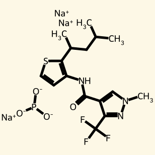 CC(C)CC(C)c1sccc1NC(=O)c1cn(C)nc1C(F)(F)F.[Na+].[Na+].[Na+].[O-]P([O-])[O-]